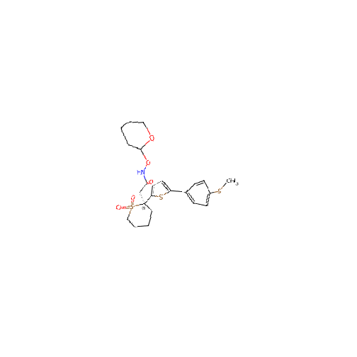 CSc1ccc(-c2ccc([C@@]3(CC(=O)NOC4CCCCO4)CCCCS3(=O)=O)s2)cc1